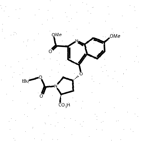 COC(=O)c1cc(O[C@@H]2C[C@@H](C(=O)O)N(C(=O)OC(C)(C)C)C2)c2ccc(OC)cc2n1